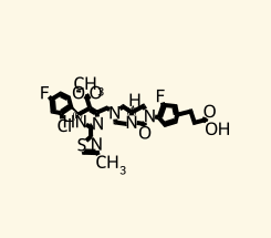 COC(=O)C1=C(CN2CCN3C(=O)N(c4ccc(CCC(=O)O)cc4F)C[C@@H]3C2)N=C(c2nc(C)cs2)N[C@H]1c1ccc(F)cc1Cl